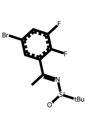 CC(=N[S+]([O-])C(C)(C)C)c1cc(Br)cc(F)c1F